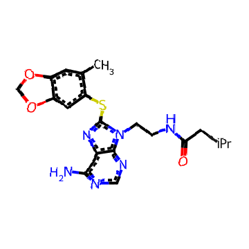 Cc1cc2c(cc1Sc1nc3c(N)ncnc3n1CCNC(=O)CC(C)C)OCO2